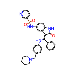 O=C1Nc2ccc(NS(=O)(=O)c3cccnc3)cc2C1=C(Nc1ccc(CN2CCCCC2)cc1)c1ccccc1